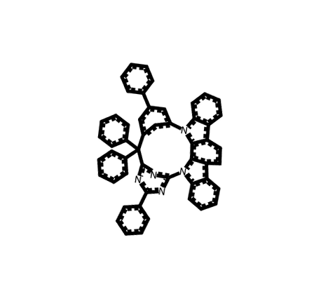 c1ccc(-c2cc3cc(c2)C(c2ccccc2)(c2ccccc2)c2nc(-c4ccccc4)nc(n2)-n2c4ccccc4c4ccc5c6ccccc6n-3c5c42)cc1